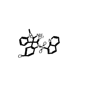 COc1ccccc1C1(C(N)=O)C(=O)N(S(=O)(=O)c2cccc3cccnc23)c2ccc(Cl)cc21